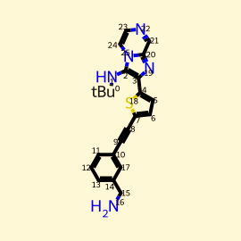 CC(C)(C)Nc1c(-c2ccc(C#Cc3cccc(CN)c3)s2)nc2cnccn12